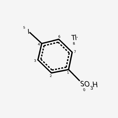 O=S(=O)(O)c1ccc(I)cc1.[Tl]